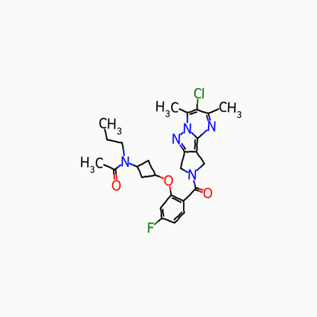 CCCN(C(C)=O)C1CC(Oc2cc(F)ccc2C(=O)N2Cc3nn4c(C)c(Cl)c(C)nc4c3C2)C1